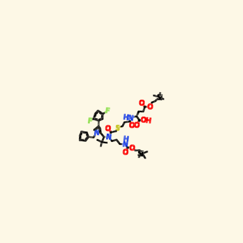 CC(C)(C)[C@H](c1cc(-c2cc(F)ccc2F)cn1Cc1ccccc1)N(CCCNC(=O)OCC[Si](C)(C)C)C(=O)CSCCC(=O)N[C@@H](CCC(=O)OCC[Si](C)(C)C)C(=O)O